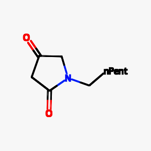 CCCCCCN1CC(=O)CC1=O